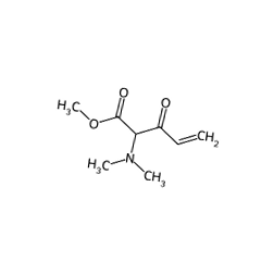 C=CC(=O)C(C(=O)OC)N(C)C